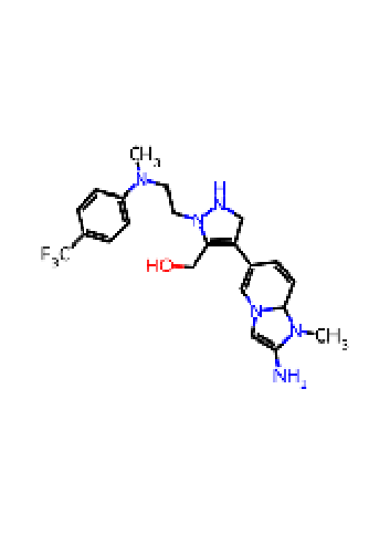 CN(CCN1NCC(C2=CN3C=C(N)N(C)C3C=C2)=C1CO)c1ccc(C(F)(F)F)cc1